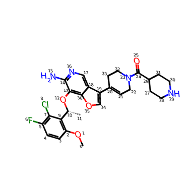 COc1ccc(F)c(Cl)c1[C@@H](C)Oc1c(N)ncc2c(C3=CCN(C(=O)C4CCNCC4)CC3)coc12